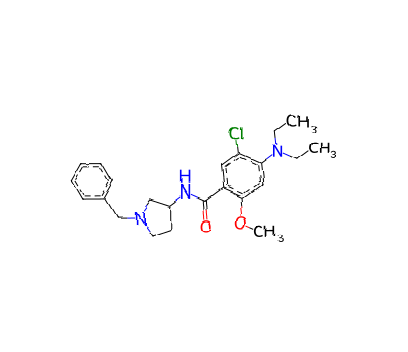 CCN(CC)c1cc(OC)c(C(=O)NC2CCN(Cc3ccccc3)C2)cc1Cl